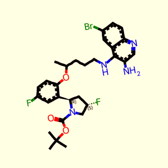 CC(CCCNc1c(N)cnc2ccc(Br)cc12)Oc1ccc(F)cc1[C@H]1C[C@H](F)CN1C(=O)OC(C)(C)C